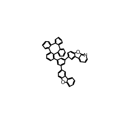 c1ccc2c(c1)-c1ccccc1-c1cccc(-c3cc(-c4ccc5oc6ccccc6c5c4)cc(-c4ccc5oc6ncccc6c5c4)c3)c1-c1ccccc1-2